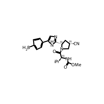 Bc1ccc(-c2cnc([C@@H]3C[C@H](C#N)CN3C(=O)[C@@H](NC(=O)OC)C(C)C)[nH]2)cc1